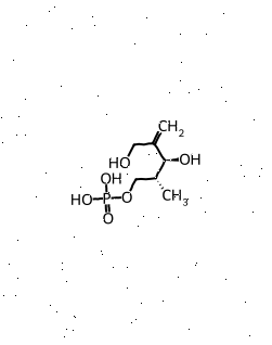 C=C(CO)[C@@H](O)[C@H](C)COP(=O)(O)O